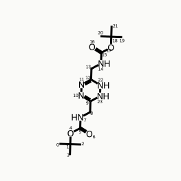 CC(C)(C)OC(=O)NCC1=NN=C(CNC(=O)OC(C)(C)C)NN1